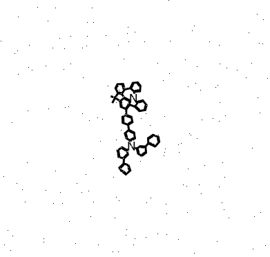 CC1(C)c2cccc3c2-c2c1cc(-c1ccc(-c4ccc(N(c5cccc(-c6ccccc6)c5)c5cccc(-c6ccccc6)c5)cc4)cc1)c1c4ccccc4n(c21)-c1ccccc1-3